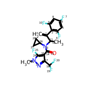 C=C(c1c(F)cc(F)cc1F)C(C)N(C(=O)c1c(C(F)F)nn(C)c1F)C1CC1